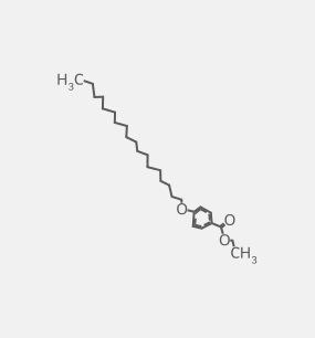 CCCCCCCCCCCCCCCCCCOc1ccc(C(=O)OCC)cc1